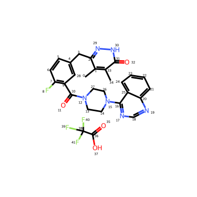 Cc1c(Cc2ccc(F)c(C(=O)N3CCN(c4ncnc5ccccc45)CC3)c2)n[nH]c(=O)c1C.O=C(O)C(F)(F)F